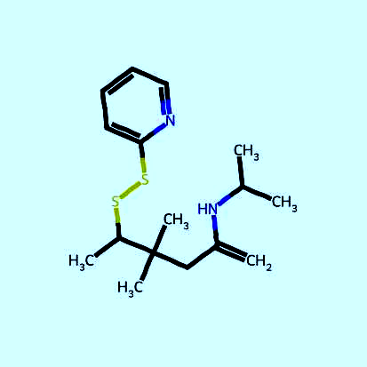 C=C(CC(C)(C)C(C)SSc1ccccn1)NC(C)C